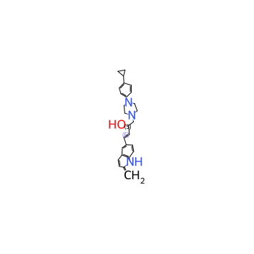 C=C1C=Cc2cc(/C=C/[C@H](O)CN3CCN(c4ccc(C5CC5)cc4)CC3)ccc2N1